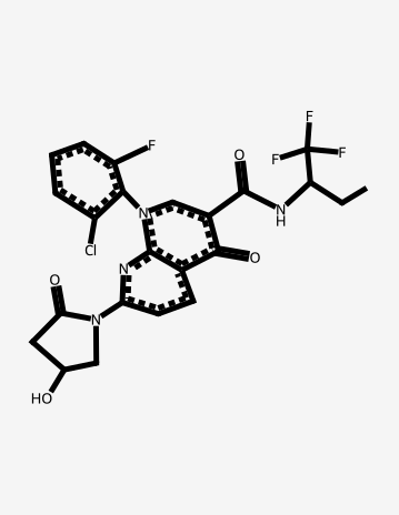 CCC(NC(=O)c1cn(-c2c(F)cccc2Cl)c2nc(N3CC(O)CC3=O)ccc2c1=O)C(F)(F)F